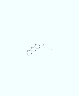 CCCNC(=O)c1cc([O])c2cc3ccccc3cc2c1